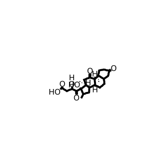 CC1C[C@H]2[C@@H]3CCC4CC(=O)CC[C@]4(C)[C@H]3C(=O)C[C@]2(C)[C@@]1(O)C(=O)C(O)CC(=O)O